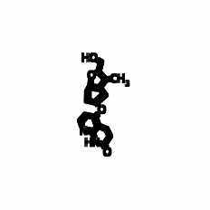 CC1c2cc(Oc3ccnc4c3CCC(=O)N4)ccc2OC1CO